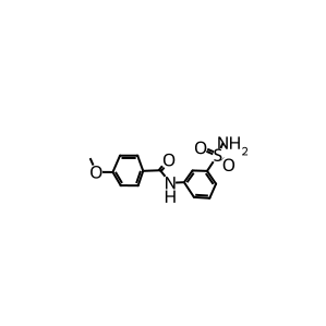 COc1ccc(C(=O)Nc2cccc(S(N)(=O)=O)c2)cc1